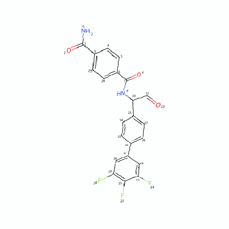 NC(=O)c1ccc(C(=O)NC(C=O)c2ccc(-c3cc(F)c(F)c(F)c3)cc2)cc1